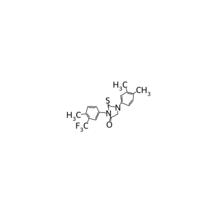 Cc1ccc(N2CC(=O)N(c3ccc(C)c(C(F)(F)F)c3)C2=S)cc1C